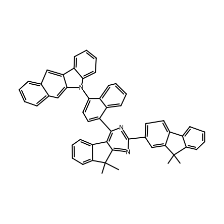 CC1(C)c2ccccc2-c2ccc(-c3nc(-c4ccc(-n5c6ccccc6c6cc7ccccc7cc65)c5ccccc45)c4c(n3)C(C)(C)c3ccccc3-4)cc21